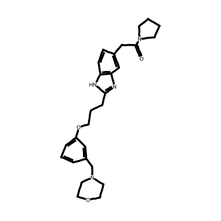 O=C(Cc1ccc2[nH]c(CCCOc3cccc(CN4CCOCC4)c3)nc2c1)N1CCCC1